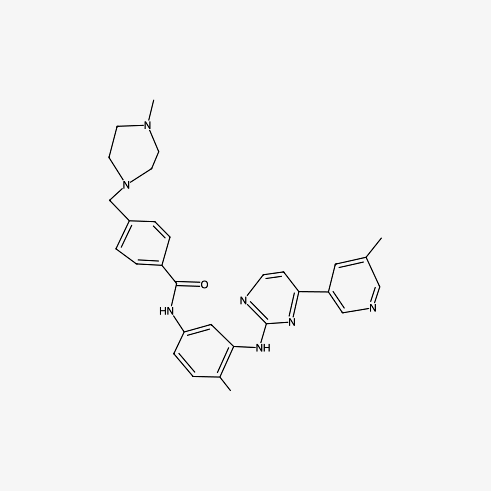 Cc1cncc(-c2ccnc(Nc3cc(NC(=O)c4ccc(CN5CCN(C)CC5)cc4)ccc3C)n2)c1